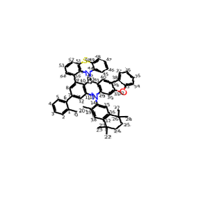 Cc1ccccc1-c1cc2c3c(c1)N(c1cc4c(cc1C)C(C)(C)CCC4(C)C)c1cc4oc5ccccc5c4cc1B3N1c3ccccc3Sc3cccc-2c31